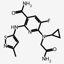 Cc1cc(Nc2nc(N(CC(N)=O)C3CC3)c(F)cc2C(N)=O)sn1